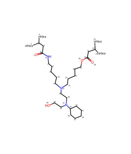 CCCCCCC(CCCCCC)CC(=O)NCCCCCN(CCCCCOC(=O)CC(CCCCCC)CCCCCC)CCN(CCO)C1CCCCC1